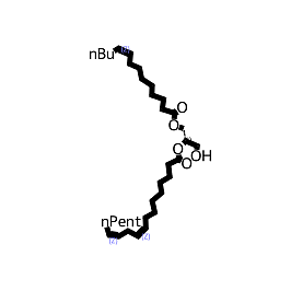 CCCC/C=C\CCCCCCCC(=O)OC[C@H](CO)OC(=O)CCCCCCC/C=C\C/C=C\CCCCC